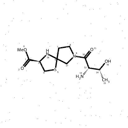 COC(=O)[C@@H]1CSC2(CCN(C(=O)[C@@H](N)[C@@H](C)O)C2)N1